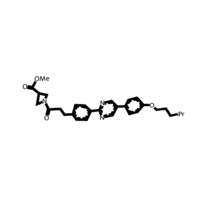 COC(=O)C1CN(C(=O)CCc2ccc(-c3ncc(-c4ccc(OCCCC(C)C)cc4)cn3)cc2)C1